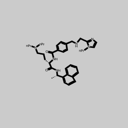 CCCN(CCC)CCC[C@H](NC(=O)c1ccc(CNCc2nccn2CCC)cc1)C(=O)N[C@@H](C)c1cccc2ccccc12